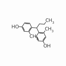 CCCC(c1ccc(O)cc1C)c1ccc(O)cc1C